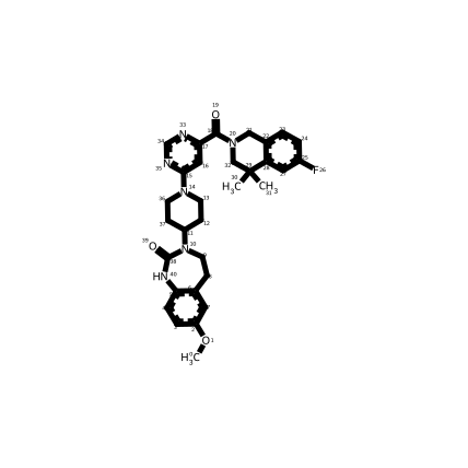 COc1ccc2c(c1)CCN(C1CCN(c3cc(C(=O)N4Cc5ccc(F)cc5C(C)(C)C4)ncn3)CC1)C(=O)N2